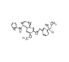 CCS(=N)(=O)c1cccc(COc2cc3ncnc(Nc4nccs4)c3cc2OC)c1